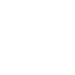 Cc1c2n(c(NCC3COCCO3)cc1=O)CCc1cc(OCC(F)F)ccc1-2